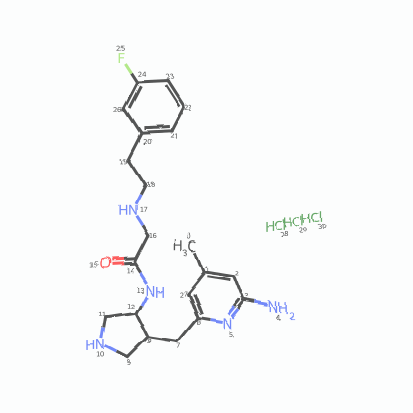 Cc1cc(N)nc(CC2CNCC2NC(=O)CNCCc2cccc(F)c2)c1.Cl.Cl.Cl